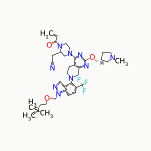 C=CC(=O)N1CCN(c2nc(OC[C@@H]3CCN(C)C3)nc3c2CCN(c2c(C(F)(F)F)ccc4c2cnn4COCC[Si](C)(C)C)C3)CC1CC#N